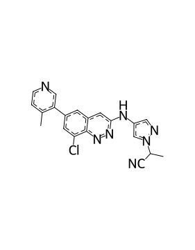 Cc1ccncc1-c1cc(Cl)c2nnc(Nc3cnn(C(C)C#N)c3)cc2c1